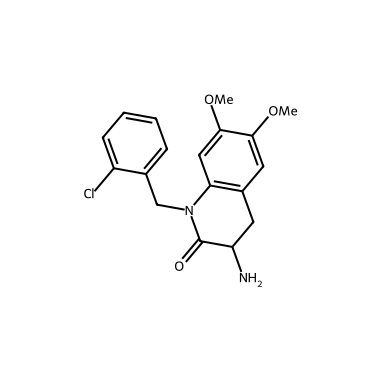 COc1cc2c(cc1OC)N(Cc1ccccc1Cl)C(=O)C(N)C2